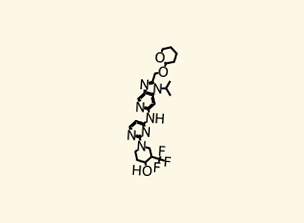 CC(C)n1c(COC2CCCCO2)nc2cnc(Nc3ccnc(N4CCC(O)C(C(F)(F)F)C4)n3)cc21